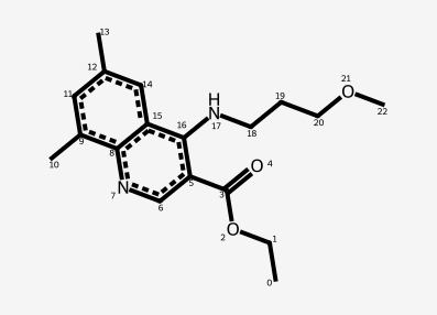 CCOC(=O)c1cnc2c(C)cc(C)cc2c1NCCCOC